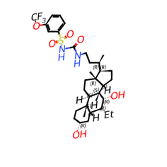 CC[C@H]1[C@@H](O)[C@@H]2[C@H](CC[C@]3(C)[C@@H]([C@H](C)CCNC(=O)NS(=O)(=O)c4cccc(OC(F)(F)F)c4)CC[C@@H]23)[C@@]2(C)CC[C@@H](O)C[C@@H]12